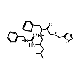 CC(C)CC(CNC(Cc1ccccc1)C(=O)CSCc1ccco1)NC(=O)NCc1ccccc1